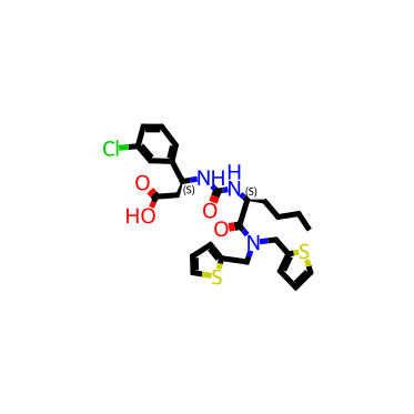 CCCC[C@H](NC(=O)N[C@@H](CC(=O)O)c1cccc(Cl)c1)C(=O)N(Cc1cccs1)Cc1cccs1